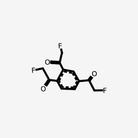 O=C(CF)c1ccc(C(=O)CF)c(C(=O)CF)c1